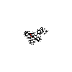 C1=Cc2c(sc3ccc(-c4c5ccccc5c(-c5ccccc5-c5ccc6ccccc6c5)c5ccccc45)cc23)CC1